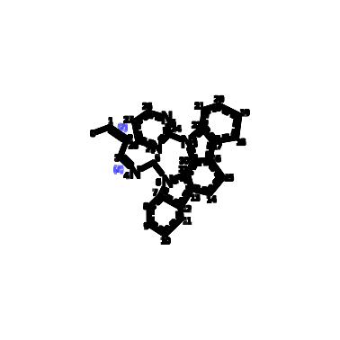 C/C=C\C=N/Cn1c2ccccc2c2ccc3c4ccccc4n(-c4ncccn4)c3c21